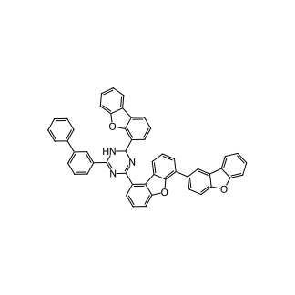 c1ccc(-c2cccc(C3=NC(c4cccc5oc6c(-c7ccc8oc9ccccc9c8c7)cccc6c45)=NC(c4cccc5c4oc4ccccc45)N3)c2)cc1